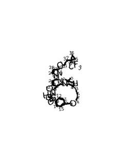 CC1(C)C[C@H]2CCCCOc3ccc(cc3)S(=O)(=O)NC(=O)c3ccc(-n4ccc(OCCC5(C(F)(F)F)CC5)n4)nc3N1C2